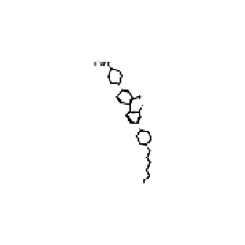 CCCCC[C@H]1CC[C@H](c2ccc(-c3ccc([C@H]4CC[C@H](CCCCCF)CC4)cc3F)c(F)c2)CC1